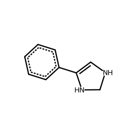 C1=C(c2ccccc2)NCN1